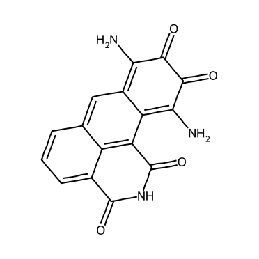 NC1=c2cc3cccc4c3c(c2=C(N)C(=O)C1=O)C(=O)NC4=O